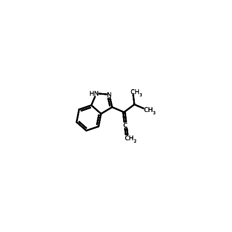 C=C=C(c1n[nH]c2ccccc12)C(C)C